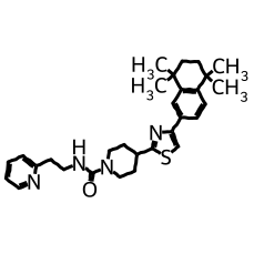 CC1(C)CCC(C)(C)c2cc(-c3csc(C4CCN(C(=O)NCCc5ccccn5)CC4)n3)ccc21